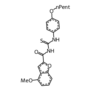 CCCCCOc1ccc(NC(=S)NC(=O)c2cc3c(OC)cccc3o2)cc1